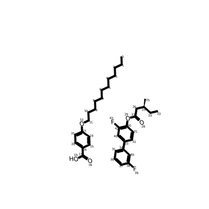 CCCCCCCCCCCCOc1ccc(C(=O)O)cc1.CC[C@H](C)CC(=O)Oc1ccc(-c2cccc(F)c2)cc1F